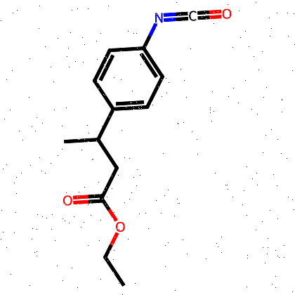 CCOC(=O)CC(C)c1ccc(N=C=O)cc1